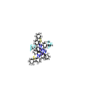 FC(F)(F)c1ccc(-n2c3ccccc3c3ccc4c5ccccc5sc4c32)c(-c2nc(-c3ccccc3)nc(-c3cc(C(F)(F)F)ccc3-n3c4ccccc4c4ccc5c6ccccc6sc5c43)n2)c1